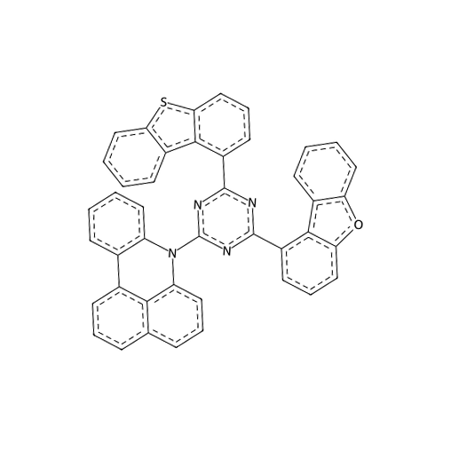 c1ccc2c(c1)-c1cccc3cccc(c13)N2c1nc(-c2cccc3oc4ccccc4c23)nc(-c2cccc3sc4ccccc4c23)n1